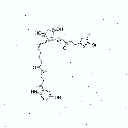 Cc1cc(CC[C@H](O)/C=C/[C@@H]2[C@@H](C/C=C\CCCC(=O)NCCc3c[nH]c4ccc(O)cc34)[C@@H](O)C[C@H]2O)sc1Br